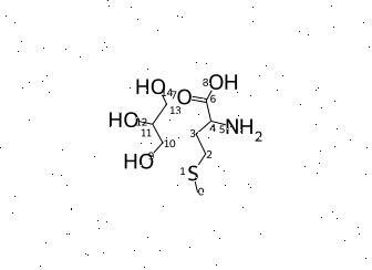 CSCCC(N)C(=O)O.OCC(O)CO